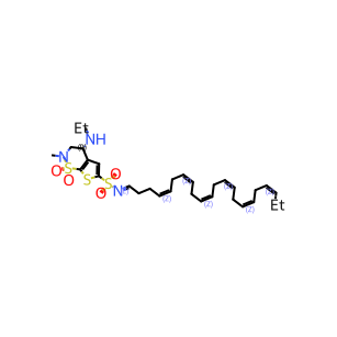 CC/C=C\C/C=C\C/C=C\C/C=C\C/C=C\C/C=C\CC/C=N/S(=O)(=O)c1cc2c(s1)S(=O)(=O)N(C)C[C@@H]2NCC